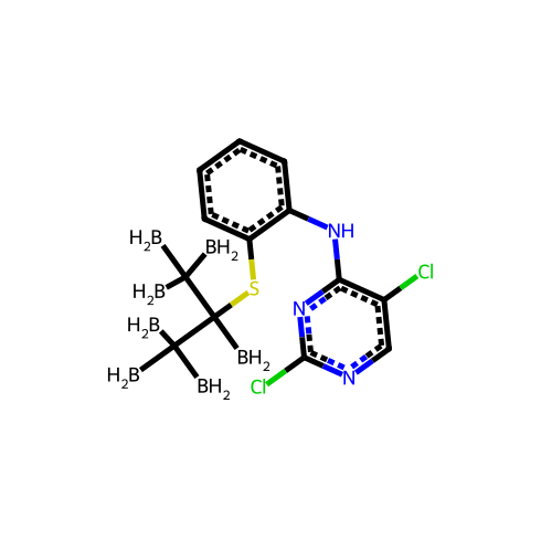 BC(B)(B)C(B)(Sc1ccccc1Nc1nc(Cl)ncc1Cl)C(B)(B)B